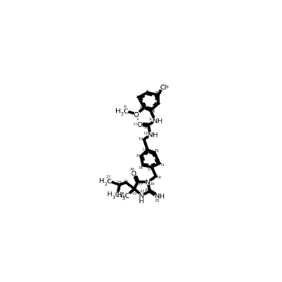 COc1ccc(Cl)cc1NC(=O)NCc1ccc(CN2C(=N)NC(C)(CC(C)C)C2=O)cc1